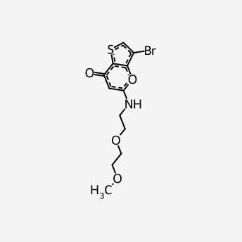 COCCOCCNc1cc(=O)c2scc(Br)c2o1